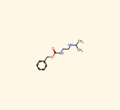 CC(C)NCCNC(=O)OCc1ccccc1